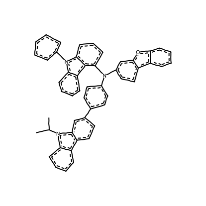 CC(C)n1c2ccccc2c2ccc(-c3ccc(N(c4ccc5c(c4)oc4ccccc45)c4cccc5c4c4ccccc4n5-c4ccccc4)cc3)cc21